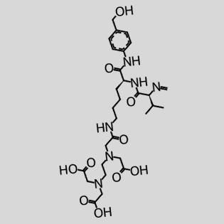 C=N[C@H](C(=O)N[C@@H](CCCCNC(=O)CN(CCN(CC(=O)O)CC(=O)O)CC(=O)O)C(=O)Nc1ccc(CO)cc1)C(C)C